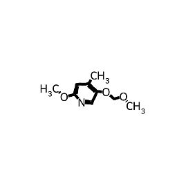 COCOc1cnc(OC)cc1C